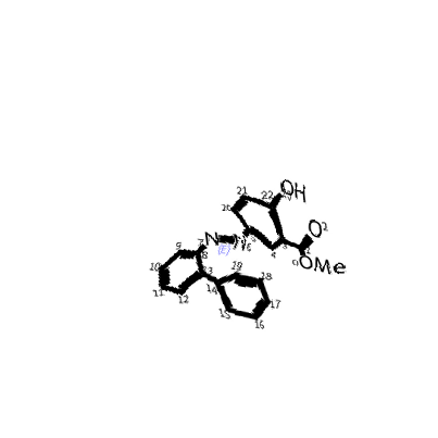 COC(=O)c1cc(/N=N/c2ccccc2-c2ccccc2)ccc1O